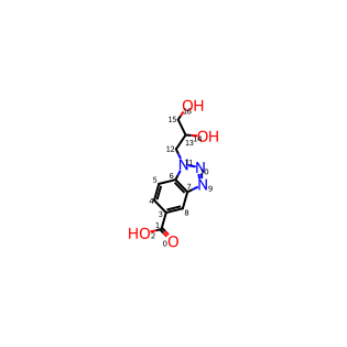 O=C(O)c1ccc2c(c1)nnn2CC(O)CO